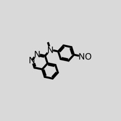 CN(c1ccc(N=O)cc1)c1nncc2ccccc12